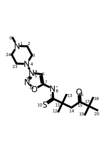 CN1CCN([n+]2cc([N-]C(=S)C(C)(C)CC(=O)C(C)(C)C)on2)CC1